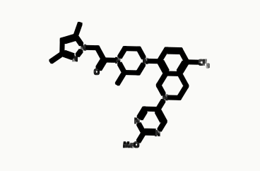 COc1ncc(N2CCc3c(C(F)(F)F)ccc(N4CCN(C(=O)Cn5nc(C)cc5C)C(C)C4)c3C2)cn1